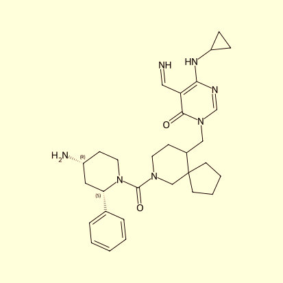 N=Cc1c(NC2CC2)ncn(CC2CCN(C(=O)N3CC[C@@H](N)C[C@H]3c3ccccc3)CC23CCCC3)c1=O